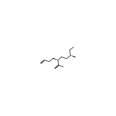 C=CCC[C@@H](CC[C@H](C)CC)C(=C)C